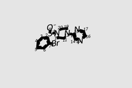 [O-][S+](c1ccccc1Br)N1CCN(c2cnccn2)CC1